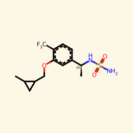 CC1CC1COc1cc([C@H](C)NS(N)(=O)=O)ccc1C(F)(F)F